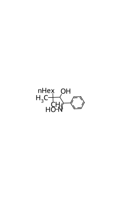 CCCCCCC(C)(C)C(O)C(=NO)c1ccccc1